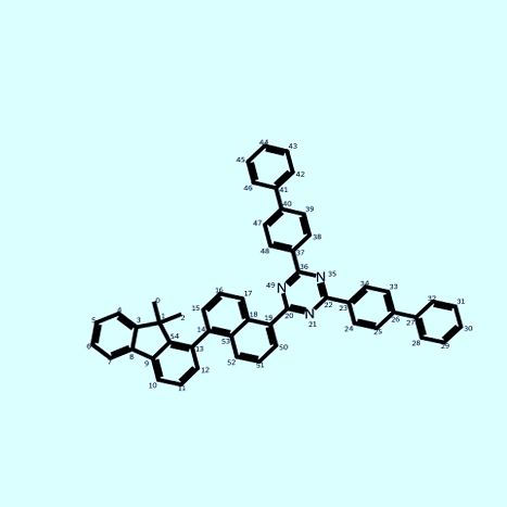 CC1(C)c2ccccc2-c2cccc(-c3cccc4c(-c5nc(-c6ccc(-c7ccccc7)cc6)nc(-c6ccc(-c7ccccc7)cc6)n5)cccc34)c21